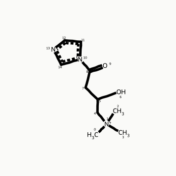 C[N+](C)(C)CC(O)CC(=O)n1ccnc1